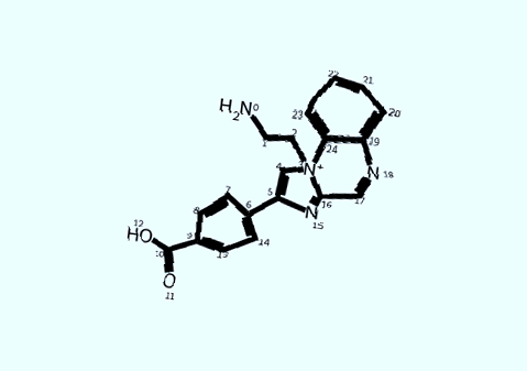 NCC[N+]12C=C(c3ccc(C(=O)O)cc3)N=C1C=Nc1ccccc12